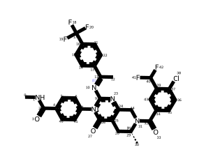 CNC(=O)c1ccc(-n2c(/N=C(\C)c3ccc(C(F)(F)F)cc3)nc3c(c2=O)C[C@@H](C)N(C(=O)c2ccc(Cl)c(C(F)F)c2)C3)cc1